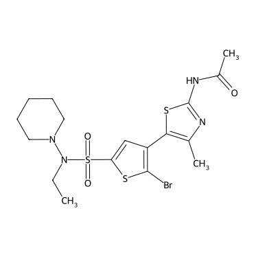 CCN(N1CCCCC1)S(=O)(=O)c1cc(-c2sc(NC(C)=O)nc2C)c(Br)s1